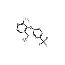 CCc1ccnc(C)c1Oc1cnc(C(F)(F)F)nc1